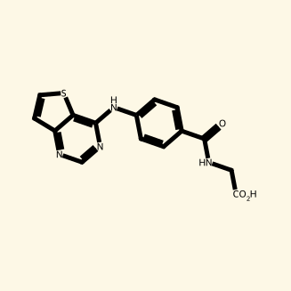 O=C(O)CNC(=O)c1ccc(Nc2ncnc3ccsc23)cc1